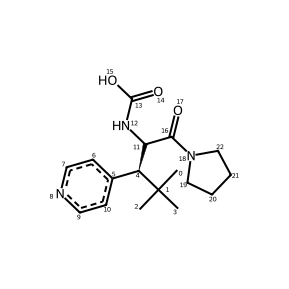 CC(C)(C)[C@@H](c1ccncc1)C(NC(=O)O)C(=O)N1CCCC1